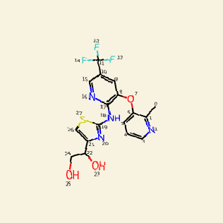 Cc1ncccc1Oc1cc(C(F)(F)F)cnc1Nc1nc(C(O)CO)cs1